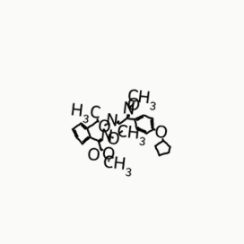 CON=C(C=NOC(C)c1ccccc1C(=NOC)C(=O)OC)c1ccc(OC2CCCC2)cc1